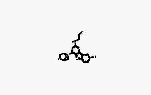 OCCNc1nc(N2CC3CC2CN3)c2oc3ccc(Cl)cc3c2n1